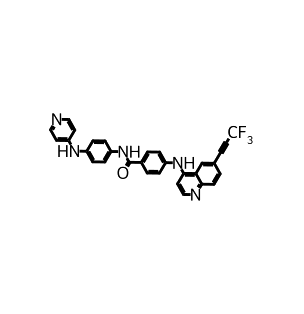 O=C(Nc1ccc(Nc2ccncc2)cc1)c1ccc(Nc2ccnc3ccc(C#CC(F)(F)F)cc23)cc1